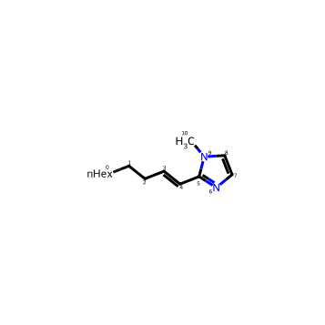 CCCCCCCCC=Cc1nccn1C